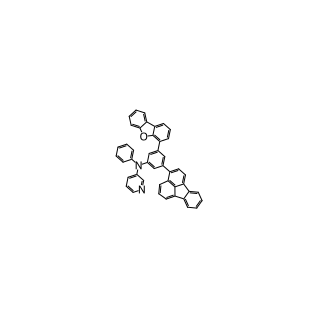 c1ccc(N(c2cccnc2)c2cc(-c3ccc4c5c(cccc35)-c3ccccc3-4)cc(-c3cccc4c3oc3ccccc34)c2)cc1